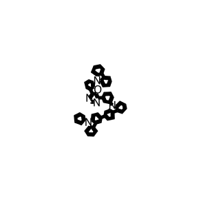 c1ccc(-n2c3ccccc3c3cc(-c4ccc5c6ccccc6n(-c6cccc(-c7ncnc8c7oc7c(-n9c%10ccccc%10c%10ccccc%109)cccc78)c6)c5c4)ccc32)cc1